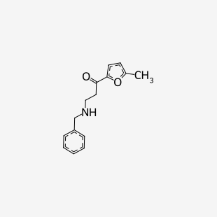 Cc1ccc(C(=O)CCNCc2ccccc2)o1